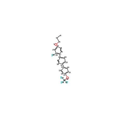 CCCOc1ccc(-c2ccc(-c3ccc(OC(F)(F)F)cc3)cc2)c(F)c1